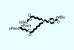 CCCCCCCCCCCOC(=O)CCCCCN(CCCCCCCC(=O)OCCCC(CCCCC)CCCCC)CCN1CCN(C(=O)OC(C)(C)C)CC1